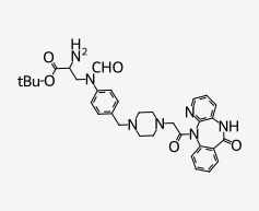 CC(C)(C)OC(=O)C(N)CN(C=O)c1ccc(CN2CCN(CC(=O)N3c4ccccc4C(=O)Nc4cccnc43)CC2)cc1